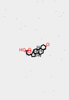 C[C@@H]1CC2=CC(=O)CC[C@@H]2[C@H]2CC[C@@]3(C)[C@@H](CC[C@@]3(O)/C=C\C(=O)O)[C@@H]21